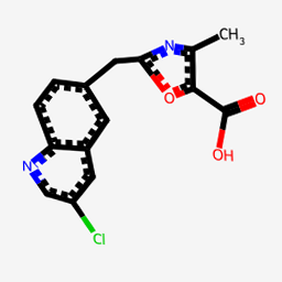 Cc1nc(Cc2ccc3ncc(Cl)cc3c2)oc1C(=O)O